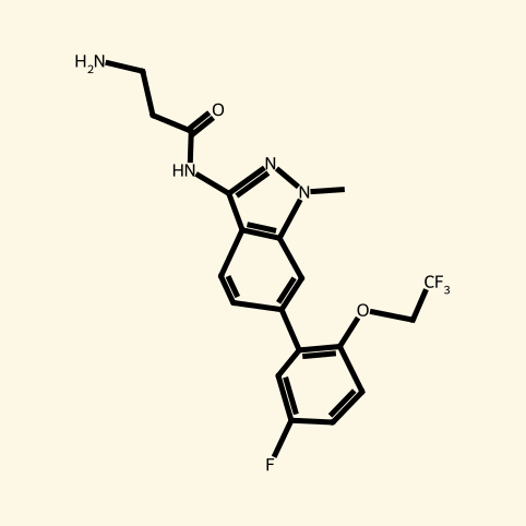 Cn1nc(NC(=O)CCN)c2ccc(-c3cc(F)ccc3OCC(F)(F)F)cc21